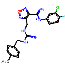 COc1ccc(CNC(=N)NCc2nonc2C(=N)Nc2ccc(F)c(Cl)c2)cc1